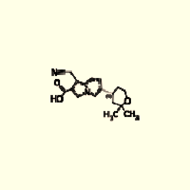 CC1(C)C[C@H](c2ccc3c(CC#N)c(C(=O)O)cn3c2)CCO1